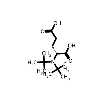 CC(C)(C)N([C@H](CCC(=O)O)C(=O)O)C(C)(C)C